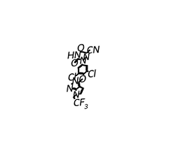 N#Cc1nn(-c2cc(Cl)c(Oc3ncnc4c3ccn4CC(F)(F)F)c(Cl)c2)c(=O)[nH]c1=O